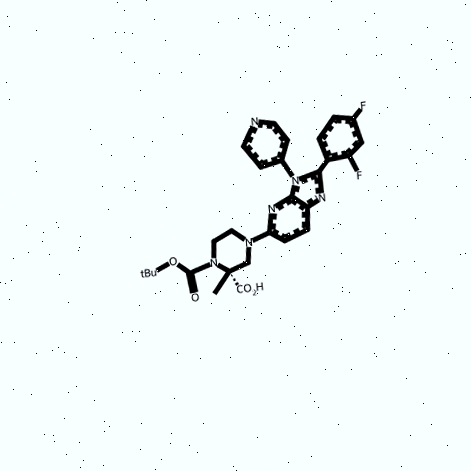 CC(C)(C)OC(=O)N1CCN(c2ccc3nc(-c4ccc(F)cc4F)n(-c4ccncc4)c3n2)C[C@]1(C)C(=O)O